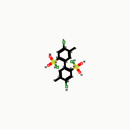 Cc1cc(-c2cc(C)c(Cl)cc2S(=O)(=O)Cl)c(S(=O)(=O)Cl)cc1Cl